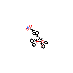 C=C1/C(=C/C=C2\CCC[C@]3(C)[C@@H](C(C)(C)/C=C/C(=O)N(C)OC)CC[C@@H]23)C[C@@H](O[Si](c2ccccc2)(c2ccccc2)C(C)(C)C)C[C@@H]1O[Si](c1ccccc1)(c1ccccc1)C(C)(C)C